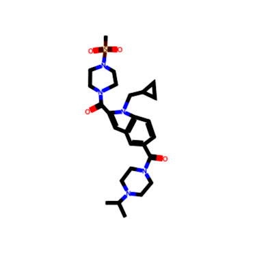 CC(C)N1CCN(C(=O)c2ccc3c(c2)cc(C(=O)N2CCN(S(C)(=O)=O)CC2)n3CC2CC2)CC1